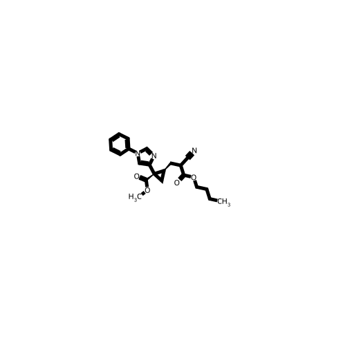 CCCCOC(=O)C(C#N)C[C@H]1C[C@]1(C(=O)OC)c1cn(-c2ccccc2)cn1